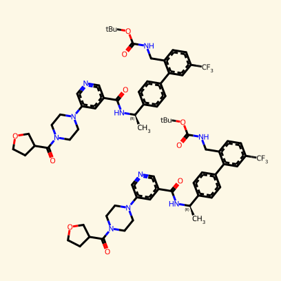 C[C@@H](NC(=O)c1cncc(N2CCN(C(=O)C3CCOC3)CC2)c1)c1ccc(-c2cc(C(F)(F)F)ccc2CNC(=O)OC(C)(C)C)cc1.C[C@@H](NC(=O)c1cncc(N2CCN(C(=O)C3CCOC3)CC2)c1)c1ccc(-c2cc(C(F)(F)F)ccc2CNC(=O)OC(C)(C)C)cc1